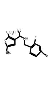 CCC(NCc1ccc(Br)cc1F)c1cc(C(C)(C)C)sc1C(=O)O